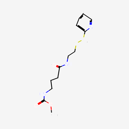 CC(C)(C)OC(=O)NCCCC(=O)NCCSSc1ccccn1